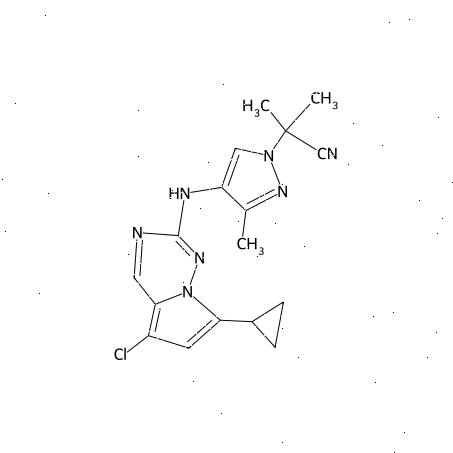 Cc1nn(C(C)(C)C#N)cc1Nc1ncc2c(Cl)cc(C3CC3)n2n1